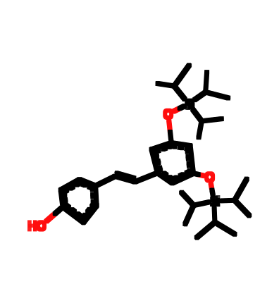 CC(C)[Si](Oc1cc(C=Cc2ccc(O)cc2)cc(O[Si](C(C)C)(C(C)C)C(C)C)c1)(C(C)C)C(C)C